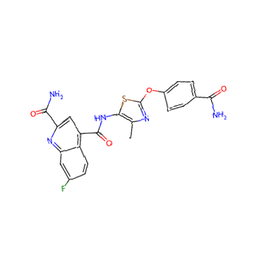 Cc1nc(Oc2ccc(C(N)=O)cc2)sc1NC(=O)c1cc(C(N)=O)nc2cc(F)ccc12